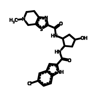 CN1CCc2nc(C(=O)NC3CC(O)CC3NC(=O)c3cc4cc(Cl)ccc4[nH]3)sc2C1